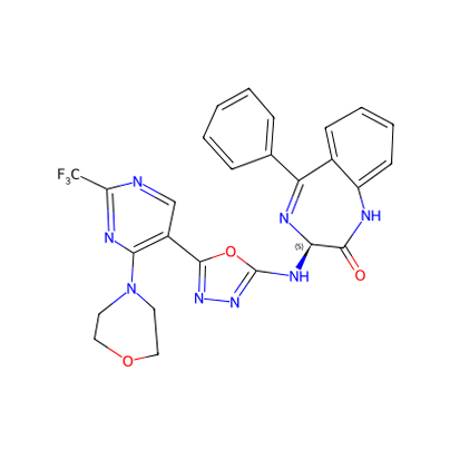 O=C1Nc2ccccc2C(c2ccccc2)=N[C@@H]1Nc1nnc(-c2cnc(C(F)(F)F)nc2N2CCOCC2)o1